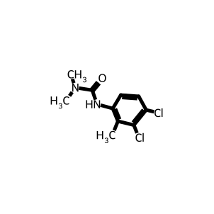 Cc1c(NC(=O)N(C)C)ccc(Cl)c1Cl